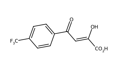 O=C(O)/C(O)=C/C(=O)c1ccc(C(F)(F)F)cc1